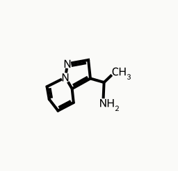 CC(N)c1cnn2ccccc12